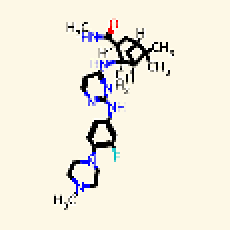 CNC(=O)[C@H]1C[C@H]2C[C@H](C2(C)C)[C@@]1(C)Nc1ccnc(Nc2ccc(N3CCN(C)CC3)c(F)c2)n1